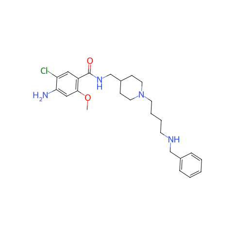 COc1cc(N)c(Cl)cc1C(=O)NCC1CCN(CCCCNCc2ccccc2)CC1